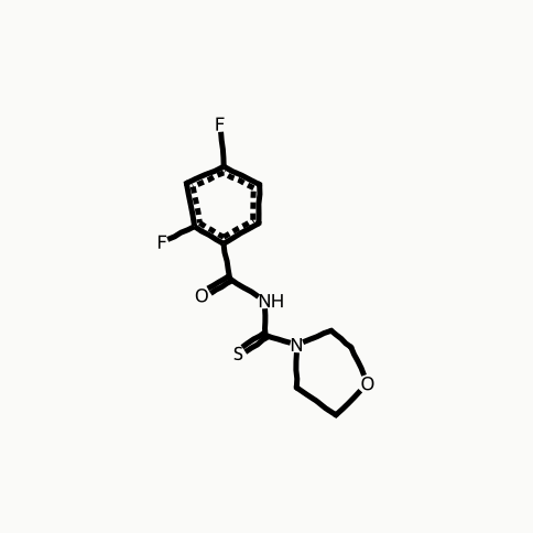 O=C(NC(=S)N1CCOCC1)c1ccc(F)cc1F